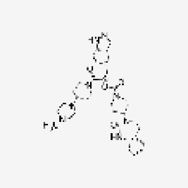 CN1CCN(C2CCN(C(=O)[C@@H](Cc3ccc4[nH]ncc4c3)OC(=O)N3CCC(N4CCc5ccccc5NC4=O)CC3)CC2)CC1